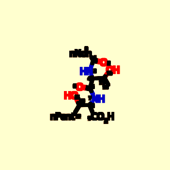 CCCCCCCCCC(=O)NC(C(=O)NC(C(=O)O)C(O)CCCCC)C(C)O